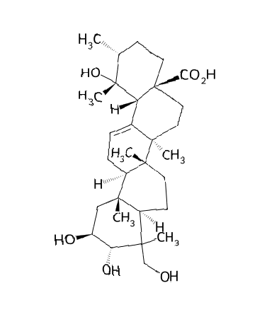 C[C@@H]1CC[C@]2(C(=O)O)CC[C@]3(C)C(=CC[C@@H]4[C@@]5(C)C[C@H](O)[C@@H](O)C(C)(CO)[C@@H]5CC[C@]43C)[C@@H]2[C@]1(C)O